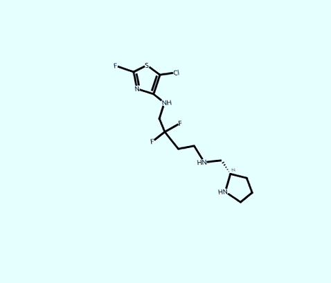 Fc1nc(NCC(F)(F)CCNC[C@@H]2CCCN2)c(Cl)s1